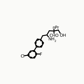 CCCC(C=O)(CO)CC(N)Cc1ccc(-c2cc(Cl)ccc2F)cc1